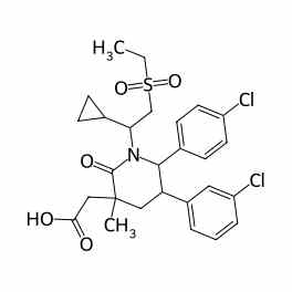 CCS(=O)(=O)CC(C1CC1)N1C(=O)C(C)(CC(=O)O)CC(c2cccc(Cl)c2)C1c1ccc(Cl)cc1